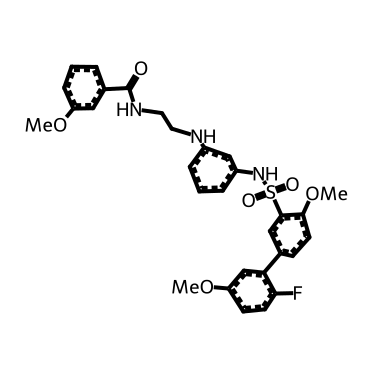 COc1cccc(C(=O)NCCNc2cccc(NS(=O)(=O)c3cc(-c4cc(OC)ccc4F)ccc3OC)c2)c1